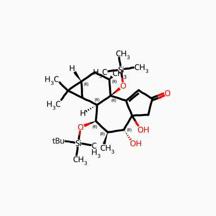 C[C@H]1[C@@H](O[Si](C)(C)C(C)(C)C)[C@H]2C3[C@@H](C[C@@H](C)[C@]2(O[Si](C)(C)C)C2=CC(=O)CC2(O)[C@@H]1O)C3(C)C